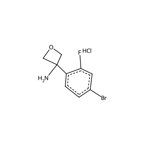 Cl.NC1(c2ccc(Br)cc2F)COC1